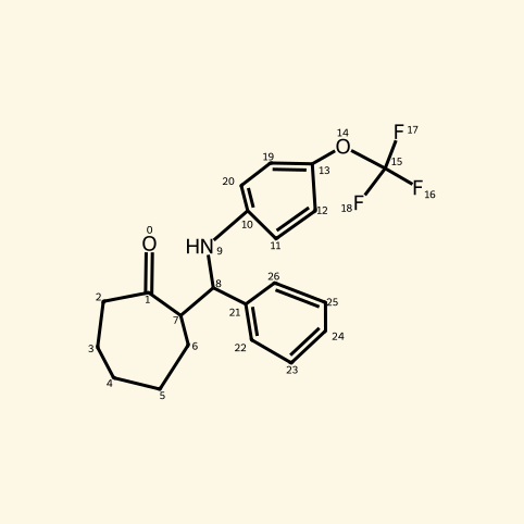 O=C1CCCCCC1C(Nc1ccc(OC(F)(F)F)cc1)c1ccccc1